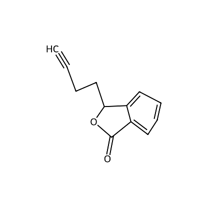 C#CCCC1OC(=O)c2ccccc21